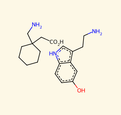 NCC1(CC(=O)O)CCCCC1.NCCc1c[nH]c2ccc(O)cc12